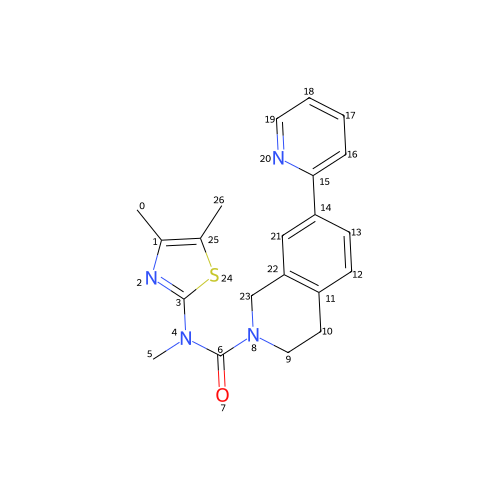 Cc1nc(N(C)C(=O)N2CCc3ccc(-c4ccccn4)cc3C2)sc1C